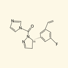 C=Cc1cc(F)cc([C@@H]2CC=NN2C(=O)n2ccnc2)c1